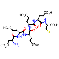 CSCC[C@H](NC(=O)[C@H](CCC(=O)O)NC(=O)[C@@H](N)CC(=O)O)C(=O)N[C@@H](CCC(=O)O)C(=O)N[C@@H](CCC(=O)O)C(=O)N[C@@H](CS)C(=O)O